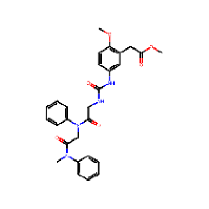 COC(=O)Cc1cc(NC(=O)NCC(=O)N(CC(=O)N(C)c2ccccc2)c2ccccc2)ccc1OC